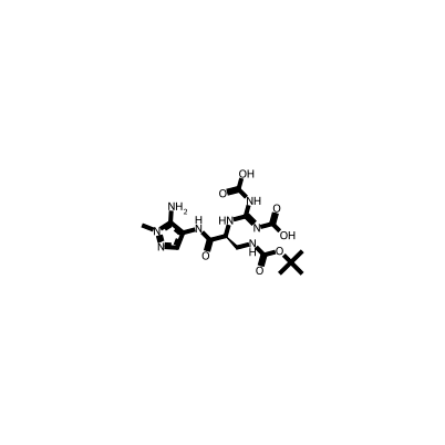 Cn1ncc(NC(=O)[C@H](CNC(=O)OC(C)(C)C)NC(=NC(=O)O)NC(=O)O)c1N